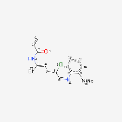 C=CC(=O)N/C(=C/CC(Cl)/C=N\c1ccccc1NC)CC